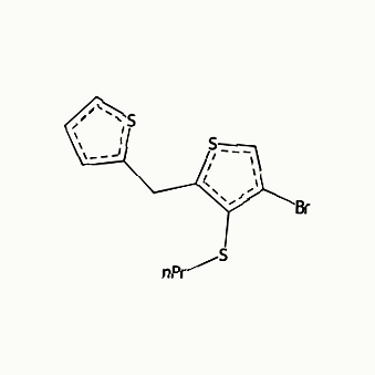 CCCSc1c(Br)csc1Cc1cccs1